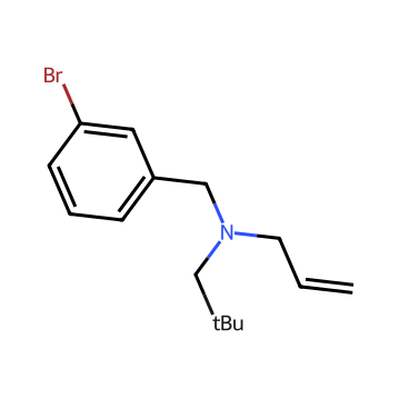 C=CCN(Cc1cccc(Br)c1)CC(C)(C)C